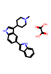 CN1CCC(c2c[nH]c3ccc(-c4cc5ccccc5[nH]4)cc23)CC1.O=C(O)C(=O)O